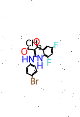 CC(=O)c1c(Nc2ccc(Br)cc2)[nH]c2c(F)cc(F)cc2c1=O